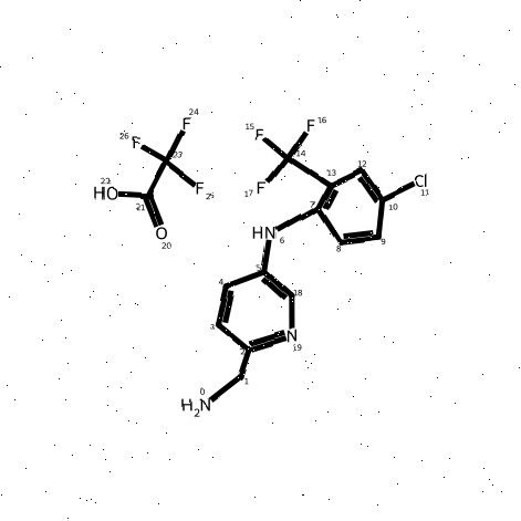 NCc1ccc(Nc2ccc(Cl)cc2C(F)(F)F)cn1.O=C(O)C(F)(F)F